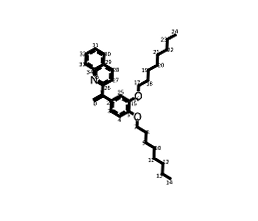 C=C(c1ccc(OCCCCCCCC)c(OCCCCCCCC)c1)c1ccc2ccccc2n1